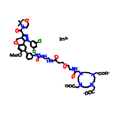 COc1cc2c(cc1-c1cccc(NC(=O)NCCNC(=O)CCOCCNC(=O)CN3CCN(CC(=O)[O-])CCN(CC(=O)[O-])CCN(CC(=O)[O-])CC3)c1)-c1c(c(C(=O)N3CCOCC3(C)C)nn1-c1cc(Cl)cc(Cl)c1)CO2.[In+3]